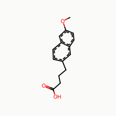 COc1ccc2cc(CCCC(=O)O)ccc2c1